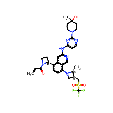 C=CC(=O)N1CC[C@H]1c1ccc(N2C[C@H](CS(=O)(=O)C(F)(F)F)[C@H]2C)c2cnc(Nc3ccnc(N4CCC(C)(O)CC4)n3)cc12